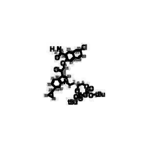 CC(C)(C)OP1(=O)OC[C@@H](CCn2cc(C(=O)COc3cc4ccc(Cl)cc4cc3C(N)=O)c3ccc(C4CC4)cc32)OP(=O)(OC(C)(C)C)O1